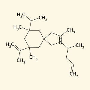 C=CCC(C)NCC1(CCC)CC(C)(C(=C)C)CC(C)(C(C)C)C1